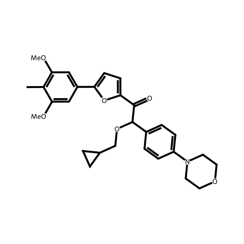 COc1cc(-c2ccc(C(=O)C(OCC3CC3)c3ccc(N4CCOCC4)cc3)o2)cc(OC)c1C